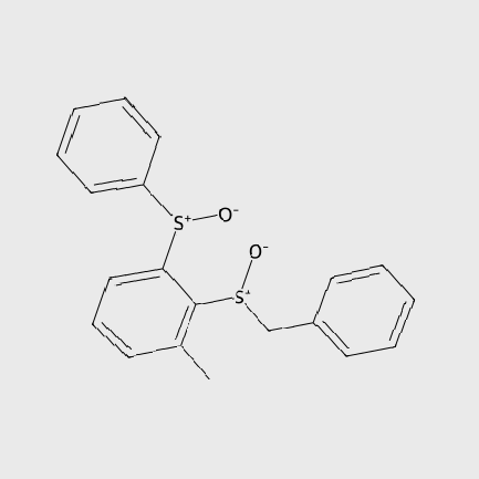 Cc1cccc([S+]([O-])c2ccccc2)c1[S+]([O-])Cc1ccccc1